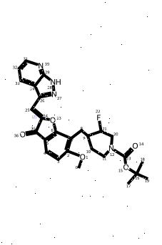 COc1ccc2c(c1CC1CCN(C(=O)OC(C)(C)C)CC1F)O/C(=C\c1n[nH]c3ncccc13)C2=O